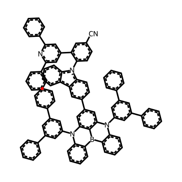 N#Cc1ccc(-n2c3ccccc3c3cc(-c4cc5c6c(c4)N(c4cc(-c7ccccc7)cc(-c7ccccc7)c4)c4ccccc4B6c4ccccc4N5c4cc(-c5ccccc5)cc(-c5ccccc5)c4)ccc32)c(-c2cc(-c3ccccc3)nc(-c3ccccc3)c2)c1